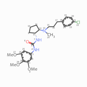 COc1cc(NC(=O)N[C@@H]2CCC[C@H]2N(C)CCCc2ccc(Cl)cc2)cc(OC)c1OC